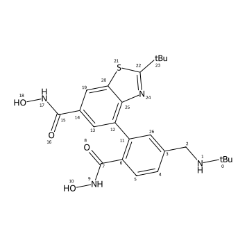 CC(C)(C)NCc1ccc(C(=O)NO)c(-c2cc(C(=O)NO)cc3sc(C(C)(C)C)nc23)c1